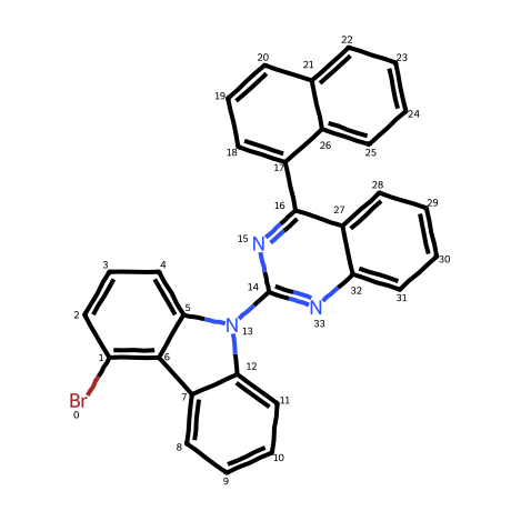 Brc1cccc2c1c1ccccc1n2-c1nc(-c2cccc3ccccc23)c2ccccc2n1